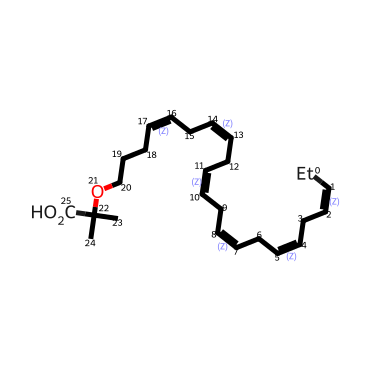 CC/C=C\C/C=C\C/C=C\C/C=C\C/C=C\C/C=C\CCCOC(C)(C)C(=O)O